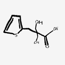 O=C(O)C(O)(O)c1cccs1